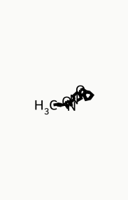 CC#Cc1cnc(N2CCC3(CC2)OCc2ccccc23)o1